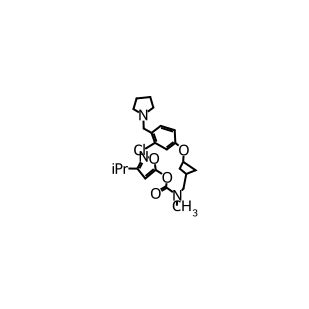 CC(C)c1cc(OC(=O)N(C)CC2CC(Oc3ccc(CN4CCCC4)c(Cl)c3)C2)on1